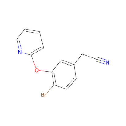 N#CCc1ccc(Br)c(Oc2ccccn2)c1